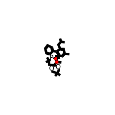 Cc1cc(CC(C)C)c(-c2ccccc2P2C(C)(C)CC3(CC2(C)C)OCC(C)(C)CO3)c(CC(C)C)c1